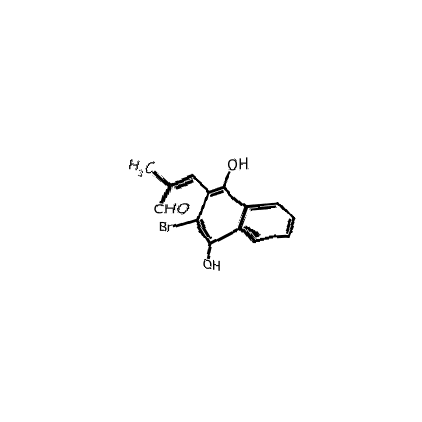 C/C(C=O)=C/c1c(Br)c(O)c2ccccc2c1O